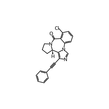 O=C1c2c(Cl)cccc2-n2cnc(C#Cc3ccccc3)c2[C@@H]2CCCN12